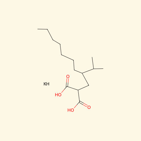 CCCCCCCC(CC(C(=O)O)C(=O)O)C(C)C.[KH]